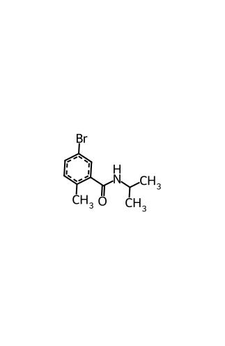 Cc1ccc(Br)cc1C(=O)NC(C)C